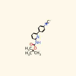 [C-]#[N+]c1ccc(-c2cccc(NC(=O)OC(C)(C)C)n2)cc1